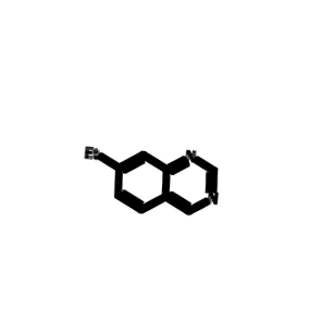 CCc1ccc2cncnc2c1